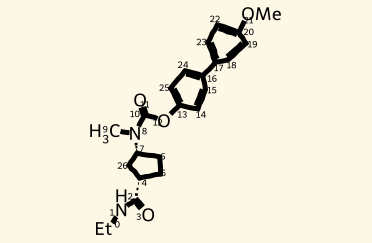 CCNC(=O)[C@H]1CC[C@@H](N(C)C(=O)Oc2ccc(-c3ccc(OC)cc3)cc2)C1